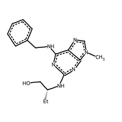 CC[C@H](CO)Nc1nc(NCc2ccccc2)c2ncn(C)c2n1